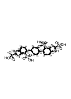 O=S(=O)(O)c1nc2c(S(=O)(=O)O)c(-c3ccc(-c4ccc5[nH]c(S(=O)(=O)O)nc5c4S(=O)(=O)O)cc3)ccc2[nH]1